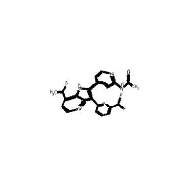 CC(=O)Nc1cc(-c2[nH]c3c(C(C)F)ccnc3c2-c2cccc(C(F)F)n2)ccn1